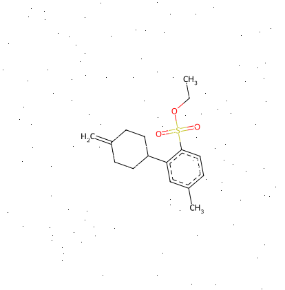 C=C1CCC(c2cc(C)ccc2S(=O)(=O)OCC)CC1